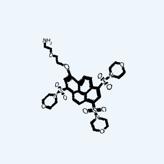 NCCOCCOc1cc(S(=O)(=O)N2CCOCC2)c2ccc3c(S(=O)(=O)N4CCOCC4)cc(S(=O)(=O)N4CCOCC4)c4ccc1c2c43